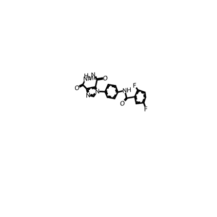 CNC(=O)c1ncn(-c2ccc(NC(=O)c3cc(F)ccc3F)cc2)c1C(N)=O